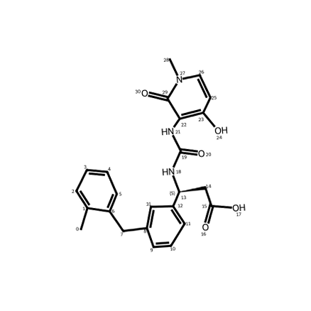 Cc1ccccc1Cc1cccc([C@H](CC(=O)O)NC(=O)Nc2c(O)ccn(C)c2=O)c1